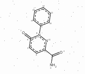 NC(=O)c1ccc(=O)n(-c2ccccc2)n1